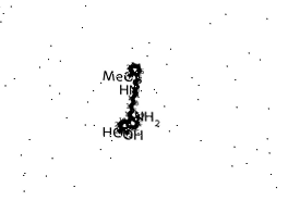 COc1ccccc1SCCNCCCCCCC1c2ccc(O)c(O)c2CCC1N